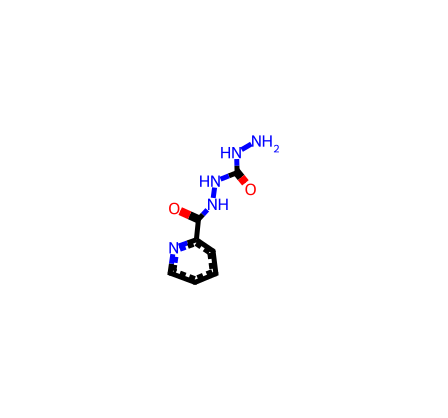 NNC(=O)NNC(=O)c1ccccn1